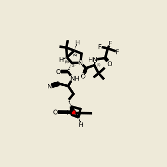 CC(C)(C)[C@H](NC(=O)C(F)(F)F)C(=O)N1C[C@H]2[C@@H]([C@H]1C(=O)NC(C#N)CC[C@]13C[C@H](C1)NC3=O)C2(C)C